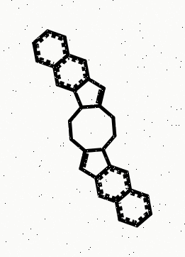 C1=C2CCC3C(=Cc4cc5ccccc5cc43)CCC2c2cc3ccccc3cc21